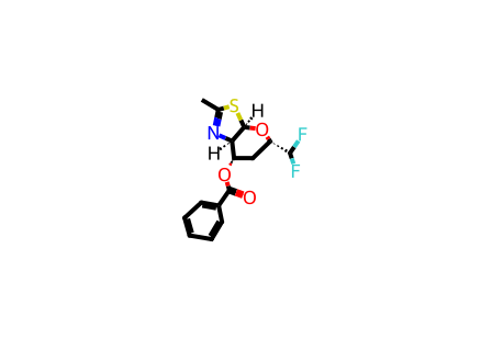 CC1=N[C@@H]2[C@@H](OC(=O)c3ccccc3)C[C@@H](C(F)F)O[C@@H]2S1